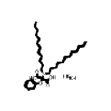 CCCCCCCCCCCCN(CCCCCCCCCCCC)C(Oc1ccccc1)(C(=O)O)C(=O)O.[KH].[KH]